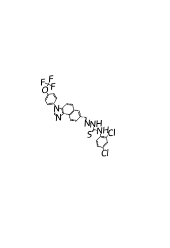 FC(F)(F)Oc1ccc(-n2cnc3c4ccc(C=NNC(=S)Nc5ccc(Cl)cc5Cl)cc4ccc32)cc1